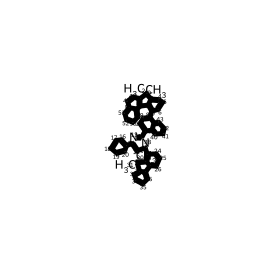 CC1(C)c2cccc(-c3ccc(-c4nc(-c5ccccc5)cc(-c5cccc6c5C(C)(C)c5ccccc5-6)n4)c4ccccc34)c2-c2c1ccc1ccccc21